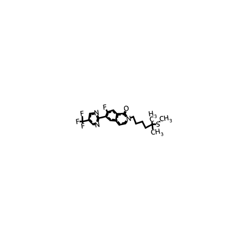 CSC(C)(C)CCCCn1ccc2cc(-c3ncc(C(F)(F)F)cn3)c(F)cc2c1=O